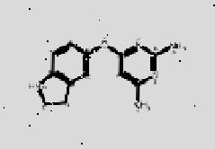 Cc1cc(Oc2ccc3c(c2)CCN3)nc(N)n1